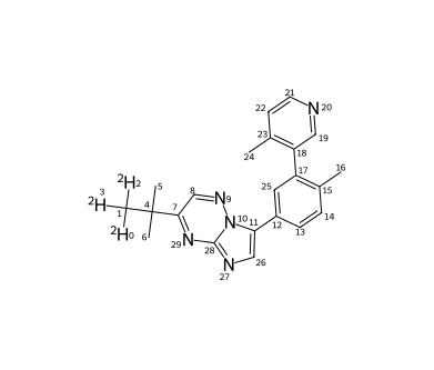 [2H]C([2H])([2H])C(C)(C)c1cnn2c(-c3ccc(C)c(-c4cnccc4C)c3)cnc2n1